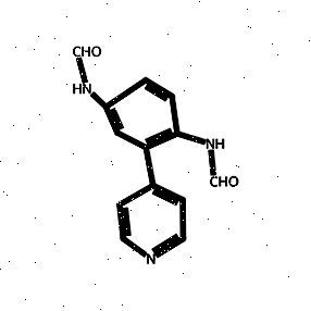 O=CNc1ccc(NC=O)c(-c2ccncc2)c1